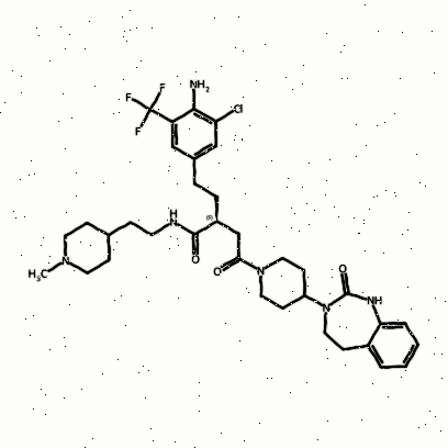 CN1CCC(CCNC(=O)[C@@H](CCc2cc(Cl)c(N)c(C(F)(F)F)c2)CC(=O)N2CCC(N3CCc4ccccc4NC3=O)CC2)CC1